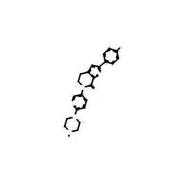 CN1CCN(c2ccc(N3CCc4cc(-c5ccc(Cl)cc5)sc4C3=O)cn2)CC1